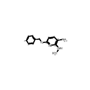 CNc1nc(OCc2ccccc2)ccc1N